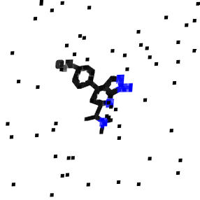 CC(c1cc(-c2ccc([N+](=O)[O-])cc2)c2cn[nH]c2n1)N(C)C